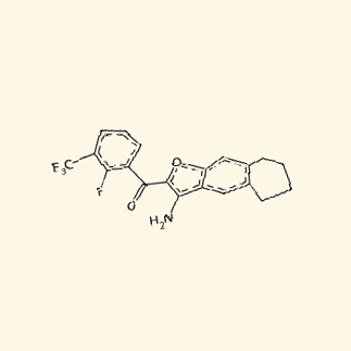 Nc1c(C(=O)c2cccc(C(F)(F)F)c2F)oc2cc3c(cc12)CCCC3